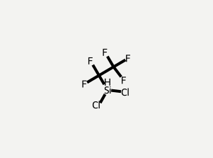 FC(F)(F)C(F)(F)[SiH](Cl)Cl